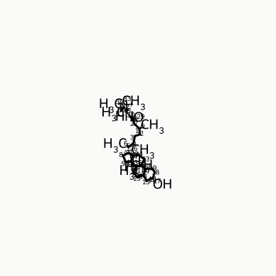 CC(CCCC(C)[C@H]1CC[C@H]2[C@@H]3CC=C4C[C@@H](O)CC[C@]4(C)[C@H]3CC[C@]12C)CC(=O)NC[N+](C)(C)C